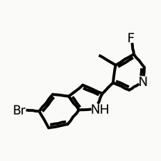 Cc1c(F)cncc1-c1cc2cc(Br)ccc2[nH]1